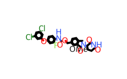 COc1c(COC(=O)Nc2ccc(Oc3cc(Cl)cc(Cl)c3)cc2F)ccc2c1C(=O)N(C1CCC(=O)NC1=O)C2